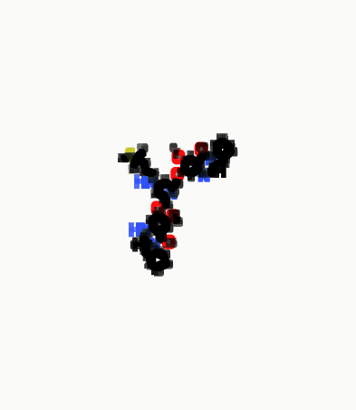 COc1cc2c(cc1OCc1cc(NCCCC(C)(C)SC)cc(COc3cc4c(cc3OC)C(=O)N3c5ccccc5C[C@H]3CN4)n1)N=C[C@@H]1Cc3ccccc3N1C2=O